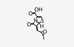 CC1OC1/C=C1/C(=O)N2C(C(=O)O)=CS[C@H]12